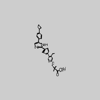 CCc1cc(OCC(C)(C)C(=O)O)ncc1-c1ccc(-c2ncc(-c3ccc(C4CCC4)cc3)[nH]2)cc1